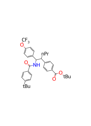 CCCC(c1ccc(C(=O)OC(C)(C)C)cc1)C(NC(=O)c1ccc(C(C)(C)C)cc1)c1ccc(OC(F)(F)F)cc1